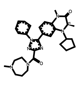 C[C@@H]1C(=O)N(C)c2ccc(-c3nc(C(=O)N4CCCN(C)CC4)nn3-c3ccccc3)cc2N1C1CCCC1